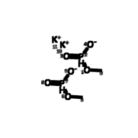 CO[PH](=O)[O-].CO[PH](=O)[O-].[K+].[K+]